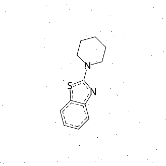 c1ccc2sc(N3CCCCC3)nc2c1